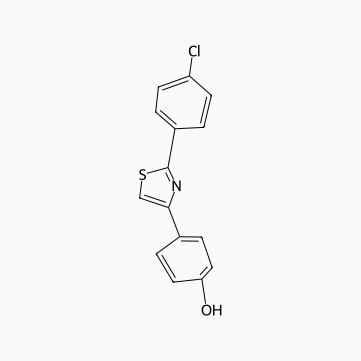 Oc1ccc(-c2csc(-c3ccc(Cl)cc3)n2)cc1